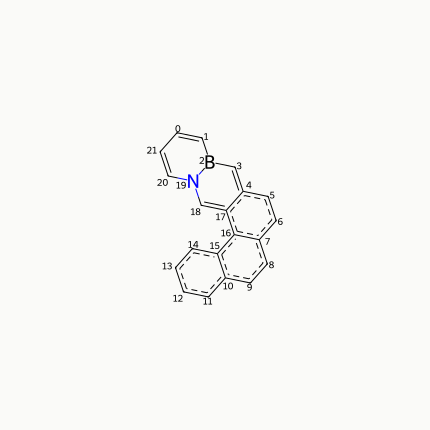 C1=CB2C=c3ccc4ccc5ccccc5c4c3=CN2C=C1